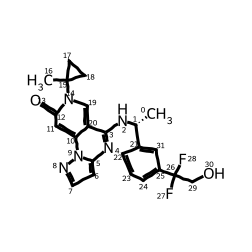 C[C@@H](Nc1nc2ccnn2c2cc(=O)n(C3(C)CC3)cc12)c1cccc(C(F)(F)CO)c1